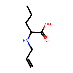 C=CCNC(CCC)C(=O)O